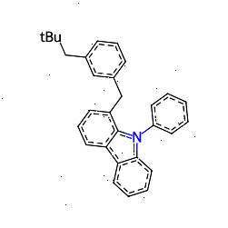 CC(C)(C)Cc1cccc(Cc2cccc3c4ccccc4n(-c4ccccc4)c23)c1